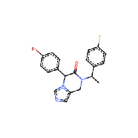 CC(c1ccc(F)cc1)N1Cc2cncn2C(c2ccc(Br)cc2)C1=O